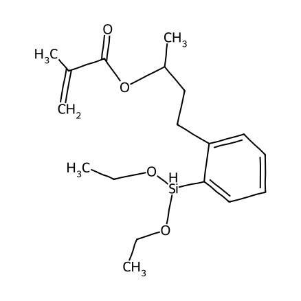 C=C(C)C(=O)OC(C)CCc1ccccc1[SiH](OCC)OCC